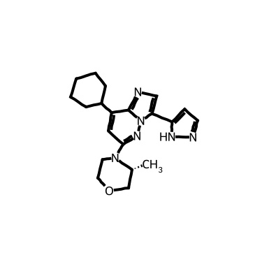 C[C@@H]1COCCN1c1cc(C2CCCCC2)c2ncc(-c3ccn[nH]3)n2n1